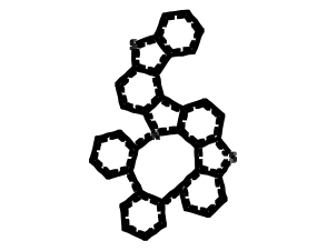 c1ccc2c(c1)sc1ccc3c(c4ccc5sc6cccc7c8ccccc8c8ccccc8n3c4c5c67)c12